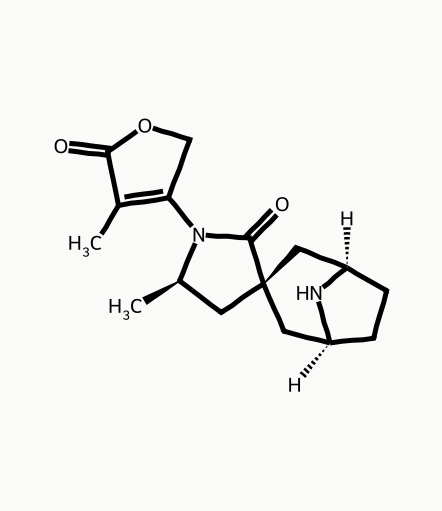 CC1=C(N2C(=O)[C@@]3(C[C@H]4CC[C@@H](C3)N4)C[C@H]2C)COC1=O